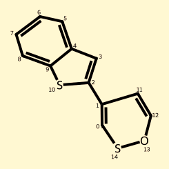 [C]1=C(c2cc3ccccc3s2)C=COS1